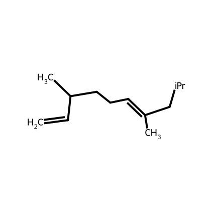 C=CC(C)CCC=C(C)CC(C)C